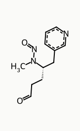 CN(N=O)[C@@H](CCC=O)Cc1cccnc1